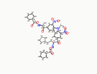 CCn1c2c([N+](=O)[O-])cc(C(=O)/C(C)=N/OC(=O)c3ccccc3)cc2c2cc(C(=O)/C(CCC3CCCC3)=N/OC(=O)c3ccccc3)cc([N+](=O)[O-])c21